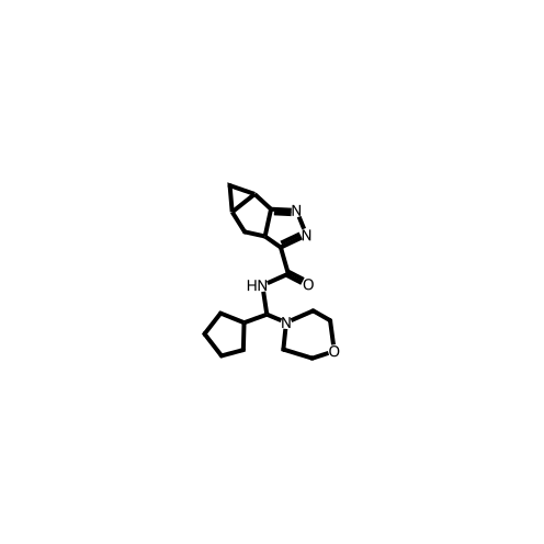 O=C(NC(C1CCCC1)N1CCOCC1)C1=NN=C2C1CC1CC21